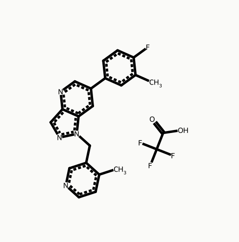 Cc1cc(-c2cnc3cnn(Cc4cnccc4C)c3c2)ccc1F.O=C(O)C(F)(F)F